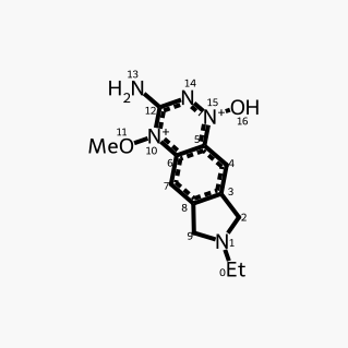 CCN1Cc2cc3c(cc2C1)[n+](OC)c(N)n[n+]3O